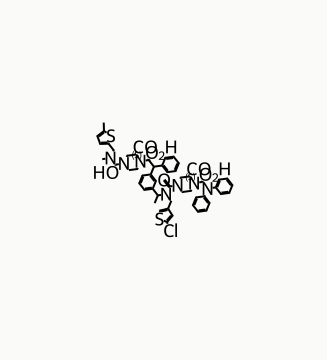 Cc1ccc(CN(C)C(O)N2CCN(C(=O)C(c3ccccc3)c3cccc(C(C)N(Cc4csc(Cl)c4)C(=O)N4CCN(C(=O)N(c5ccccc5)c5ccccc5)[C@H](C(=O)O)C4)c3)[C@H](C(=O)O)C2)s1